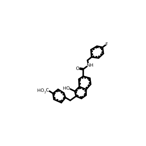 O=C(O)c1ccc(Cc2ccc3ccc(C(=O)NCc4ccc(F)cc4)cc3c2O)cc1